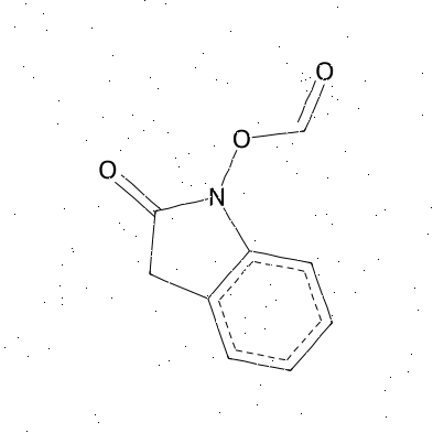 O=CON1C(=O)Cc2ccccc21